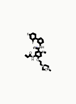 C=CC(=O)Nc1cc(/C(=N\C)Nc2cccc(-c3ccc(F)cc3F)c2)c(N=C)cc1OCCN1CCN(C)CC1